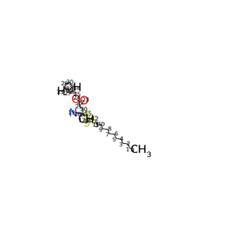 CCCCCCCCCCCCSC(=S)SC(C)(C#N)CCC(=O)OC[C@@H]1C[C@H]2C=C[C@@H]1C2